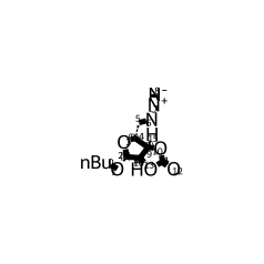 CCCCO[C@@H]1O[C@H](CN=[N+]=[N-])[C@H]2OC(=O)O[C@@H]12